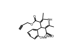 C#CCOC(=O)C1=C(C)NC(C)=C(C(=O)OC)C1c1ccccc1OC